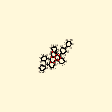 C[C@@H]1CC(C2=C(N(c3ccccc3)c3ccc(-c4ccccc4)cc3)C=CCC2)=CC=C1c1ccccc1N(c1ccccc1)c1cccc(-c2cccc(-c3ccccc3)c2)c1